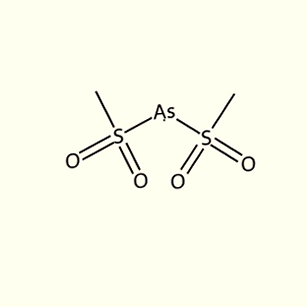 CS(=O)(=O)[As]S(C)(=O)=O